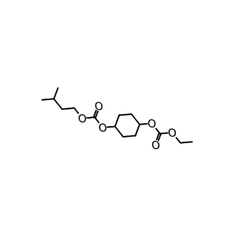 CCOC(=O)OC1CCC(OC(=O)OCCC(C)C)CC1